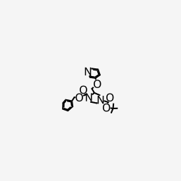 CC(C)(C)OC(=O)N1CCN(C(=O)OCc2ccccc2)C(COc2cccnc2)C1